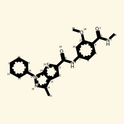 CNC(=O)c1ccc(NC(=O)c2cc3c(C)nn(-c4ccccc4)c3s2)cc1OC